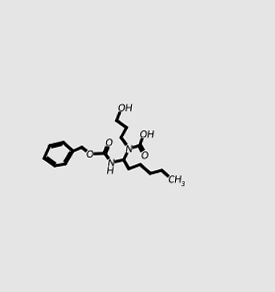 CCCCCC(NC(=O)OCc1ccccc1)N(CCCO)C(=O)O